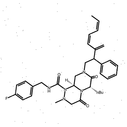 C=C(/C=C\C=C/C)C(CN1C[C@H]2N(C(=O)CN(C)N2C(=O)NCc2ccc(F)cc2)[C@@H](CCCC)C1=O)c1ccccc1